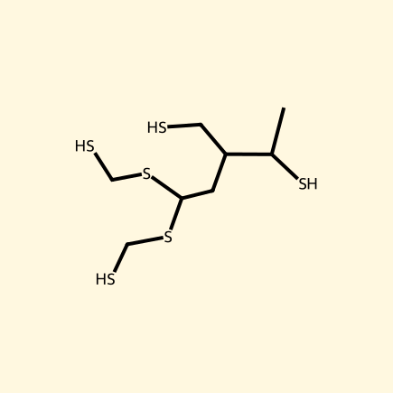 CC(S)C(CS)CC(SCS)SCS